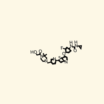 CC1(C)CN(Cc2ccc(-c3cc4nccc(Oc5ccc(NC(=O)NC6CC6)cc5F)c4s3)nc2)CCN1C(=O)CO